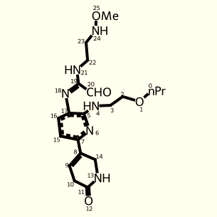 CCCOCCNc1nc(C2=CCC(=O)NC2)ccc1/N=C(\C=O)NCCNOC